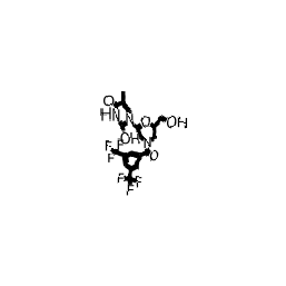 CC1=CN(C2CN(C(=O)c3cc(C(F)(F)F)cc(C(F)(F)F)c3)CC(CO)O2)C(O)NC1=O